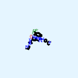 Cc1c(-c2cc3cnc(Nc4ccc(C5CCCN(C)C5)cc4)nc3n(Cc3ccccc3C(F)(F)F)c2=O)ncn1C1=CCC=N1